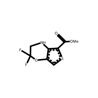 COC(=O)c1scc2c1NCC(F)(F)O2